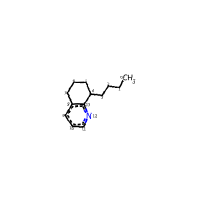 CCCCC1CCCc2cccnc21